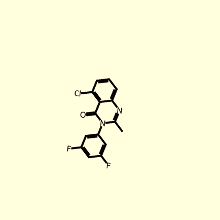 Cc1nc2cccc(Cl)c2c(=O)n1-c1cc(F)cc(F)c1